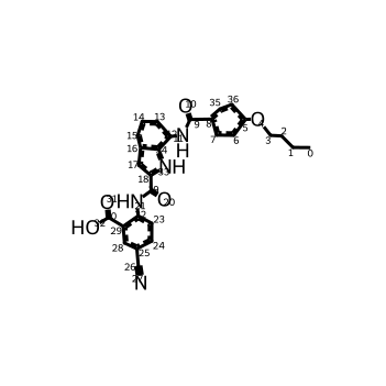 CCCCOc1ccc(C(=O)Nc2cccc3cc(C(=O)Nc4ccc(C#N)cc4C(=O)O)[nH]c23)cc1